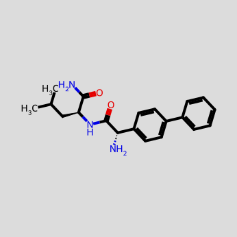 CC(C)C[C@H](NC(=O)[C@@H](N)c1ccc(-c2ccccc2)cc1)C(N)=O